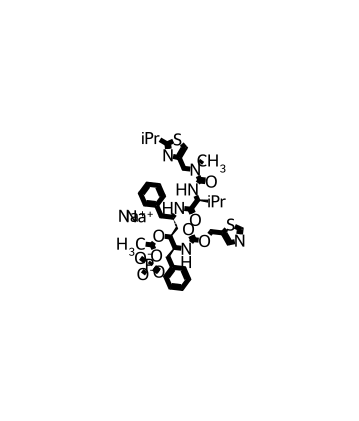 CC(O[C@@H](C[C@H](Cc1ccccc1)NC(=O)[C@@H](NC(=O)N(C)Cc1csc(C(C)C)n1)C(C)C)[C@H](Cc1ccccc1)NC(=O)OCc1cncs1)OP(=O)([O-])[O-].[Na+].[Na+]